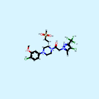 COc1cc(N2CCN(C(=O)Cn3nc(C(F)(F)F)c(Cl)c3C)[C@@H](CCS(C)(=O)=O)C2)ccc1Cl